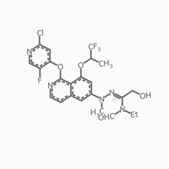 CCN(C=O)/C(CO)=N\N(C)c1cc(OC(C)C(F)(F)F)c2c(Oc3cc(Cl)ncc3F)nccc2c1